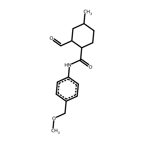 COCc1ccc(NC(=O)C2CCC(C)CC2C=O)cc1